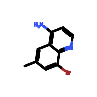 Cc1cc(Br)c2nccc(N)c2c1